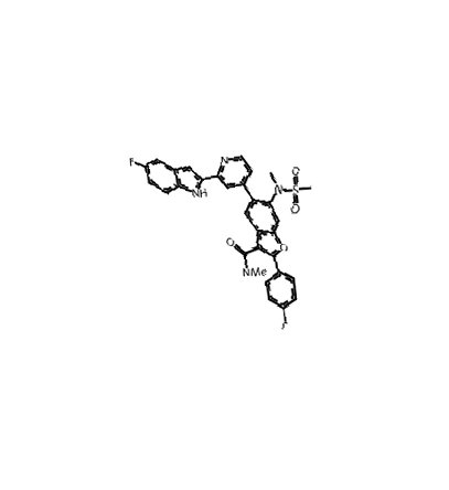 CNC(=O)c1c(-c2ccc(F)cc2)oc2cc(N(C)S(C)(=O)=O)c(-c3ccnc(-c4cc5cc(F)ccc5[nH]4)c3)cc12